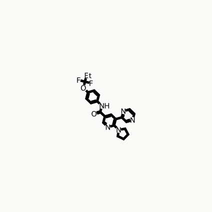 CCC(F)(F)Oc1ccc(NC(=O)c2cnc(N3CCCC3)c(-c3cnccn3)c2)cc1